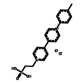 Cc1ccc(-[n+]2ccc(-c3cc[n+](CCP(=O)(O)O)cc3)cc2)cc1.[Cl-].[Cl-]